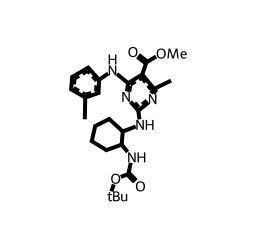 COC(=O)c1c(C)nc(NC2CCCCC2NC(=O)OC(C)(C)C)nc1Nc1cccc(C)c1